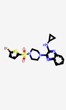 O=S(=O)(c1ccc(Br)s1)N1CCN(c2nc3ccccc3nc2NC2CC2)CC1